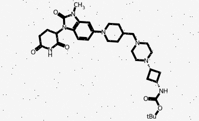 Cn1c(=O)n(C2CCC(=O)NC2=O)c2ccc(N3CCC(CN4CCN([C@H]5C[C@@H](NC(=O)OC(C)(C)C)C5)CC4)CC3)cc21